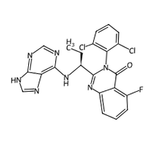 CC[C@H](Nc1ncnc2[nH]cnc12)c1nc2cccc(F)c2c(=O)n1-c1c(Cl)cccc1Cl